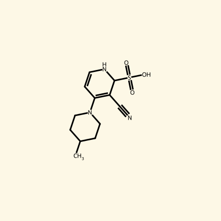 CC1CCN(C2=C(C#N)C(S(=O)(=O)O)NC=C2)CC1